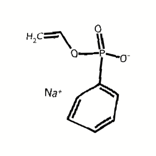 C=COP(=O)([O-])c1ccccc1.[Na+]